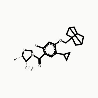 C[C@@H]1SCN(C(=O)c2cc(C3CC3)c(OCC34CC5CC3CC5C4)cc2F)[C@@H]1C(=O)O